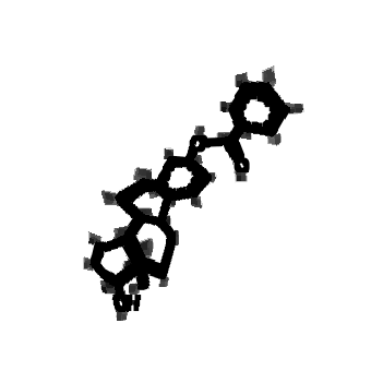 C[C@]12CCC3c4ccc(OC(=O)c5ccccc5)cc4CCC3C1C=C[C@@H]2O